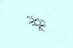 C=S(C)(=O)NS(C)(=O)=O